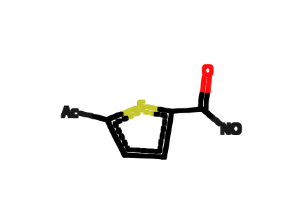 CC(=O)c1ccc(C(=O)N=O)s1